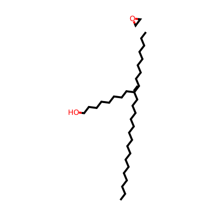 C1CO1.CCCCCCCC/C=C(\CCCCCCCCO)CCCCCCCCCCCCCCCC